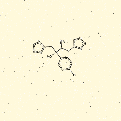 C[C@@H](Sc1cnns1)[C@](O)(Cn1cncn1)c1ccc(Cl)cc1